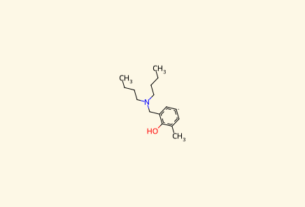 CCCCN(CCCC)Cc1c[c]cc(C)c1O